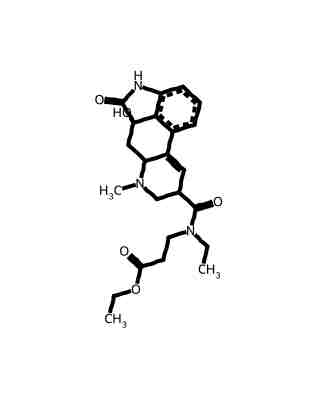 CCOC(=O)CCN(CC)C(=O)C1C=C2c3cccc4c3C(O)(CC2N(C)C1)C(=O)N4